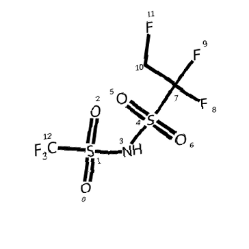 O=S(=O)(NS(=O)(=O)C(F)(F)CF)C(F)(F)F